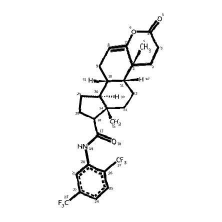 C[C@]12CCC(=O)OC1=CC[C@@H]1[C@H]2CC[C@]2(C)C(C(=O)Nc3cc(C(F)(F)F)ccc3C(F)(F)F)CC[C@@H]12